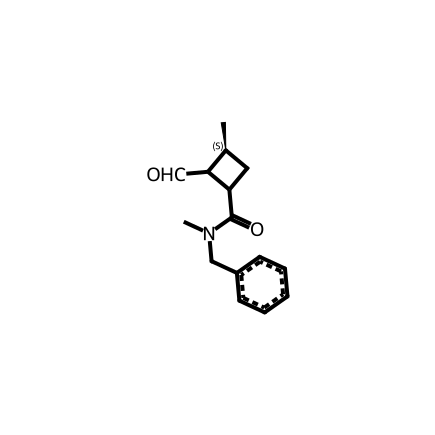 C[C@H]1CC(C(=O)N(C)Cc2ccccc2)C1C=O